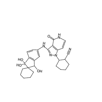 N#CC1CCCCC1n1nc(Nc2ccc3c(c2)C(O)C2(CCCCC2)S3(O)O)c2c(=O)[nH]ccc21